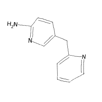 Nc1ccc(Cc2ccccn2)cn1